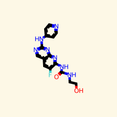 O=C(NCCO)Nc1nc2nc(Nc3ccncc3)ncc2cc1F